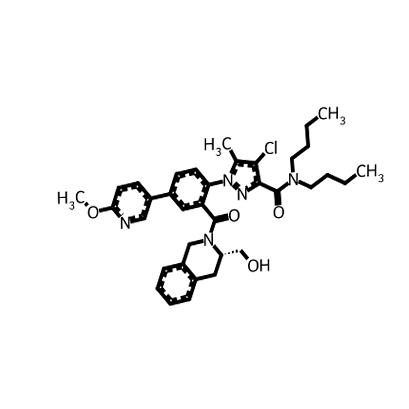 CCCCN(CCCC)C(=O)c1nn(-c2ccc(-c3ccc(OC)nc3)cc2C(=O)N2Cc3ccccc3C[C@H]2CO)c(C)c1Cl